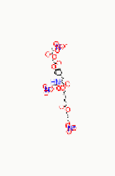 CC(O[N+](=O)[O-])C(=O)OCC(=O)Oc1ccc(CC(NC(=O)CO[N+](=O)[O-])C(=O)OCCCCCC(=O)OCCCCO[N+](=O)[O-])cc1